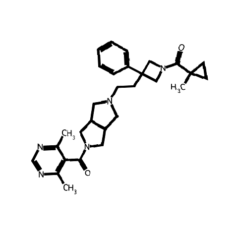 Cc1ncnc(C)c1C(=O)N1CC2CN(CCC3(c4ccccc4)CN(C(=O)C4(C)CC4)C3)CC2C1